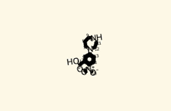 O=C(O)c1cc(N2CCCNCC2)ccc1[N+](=O)[O-]